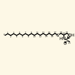 CCCCCCCCCCCCCCCCCCSCC(CO)NS(C)(=O)=O